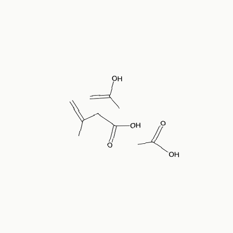 C=C(C)CC(=O)O.C=C(C)O.CC(=O)O